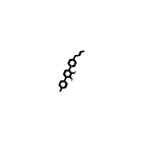 CC=CCc1ccc(-c2ccc(-c3ccc(C)cc3)c(F)c2F)cc1